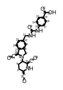 O=C=C1CCC(N2Cc3cc(CNC(=O)Nc4ccc(C(=O)O)cc4)ccc3C2=C=O)C(=C=O)N1